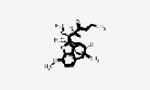 CCCC(=O)[C@H]1C[C@@]23CC[C@]1(OC)[C@@]1(C)Oc4c(OC)ccc5c4[C@]21CCN(C)[C@@H]3C5